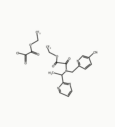 CC(c1ncccn1)N(Cc1ccc(C#N)cn1)C(=O)C(=O)OCC(F)(F)F.O=C(Cl)C(=O)OCC(F)(F)F